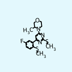 CSc1nc(-c2cc(F)ccc2SC)cc(N2CCOCC2C)n1